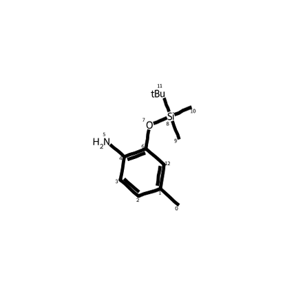 Cc1ccc(N)c(O[Si](C)(C)C(C)(C)C)c1